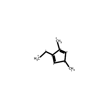 CCC1=CC(C)C=C1C